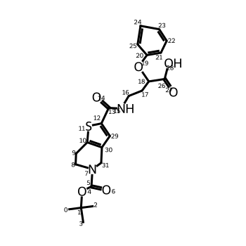 CC(C)(C)OC(=O)N1CCc2sc(C(=O)NCCC(Oc3ccccc3)C(=O)O)cc2C1